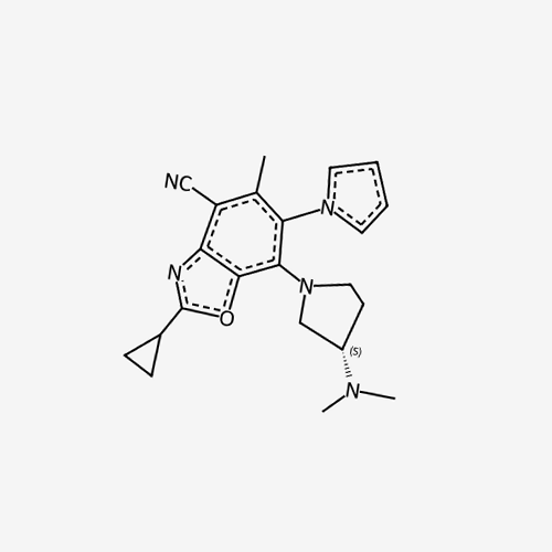 Cc1c(-n2cccc2)c(N2CC[C@H](N(C)C)C2)c2oc(C3CC3)nc2c1C#N